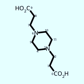 O=C(O)CCN1CCN(CCC(=O)O)CC1